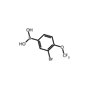 OB(O)c1ccc(OC(F)(F)F)c(Br)c1